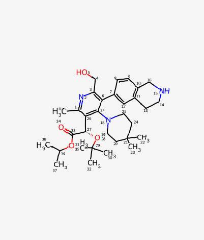 Cc1nc(CO)c(-c2ccc3c(c2)CCNC3)c(N2CCC(C)(C)CC2)c1[C@H](OC(C)(C)C)C(=O)OC(C)C